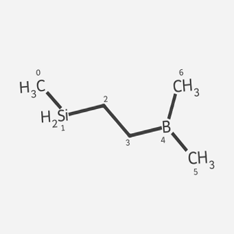 C[SiH2]CCB(C)C